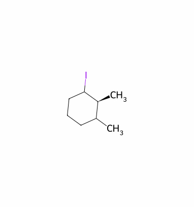 CC1CCCC(I)[C@H]1C